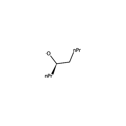 CCCC[C@H]([O])CCC